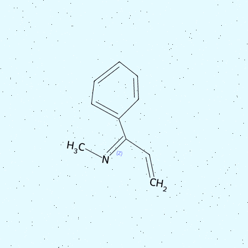 C=C/C(=N/C)c1ccccc1